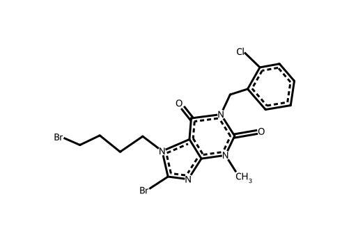 Cn1c(=O)n(Cc2ccccc2Cl)c(=O)c2c1nc(Br)n2CCCCBr